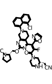 CN1CCC[C@H]1COc1nc2c(c(/C(=C(/F)C(=O)N3CCN[C@@H](CC#N)C3)c3ncco3)n1)CCN(c1cccc3cccc(Cl)c13)C2